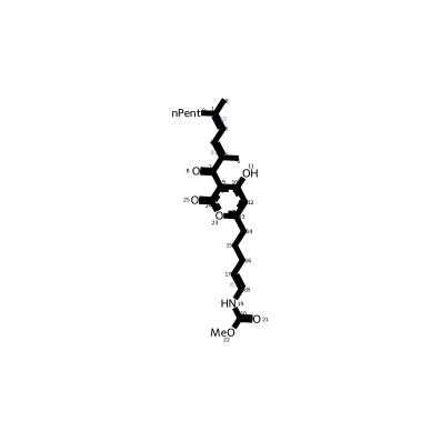 CCCCC/C(C)=C\C=C(/C)C(=O)c1c(O)cc(CCC/C=C/NC(=O)OC)oc1=O